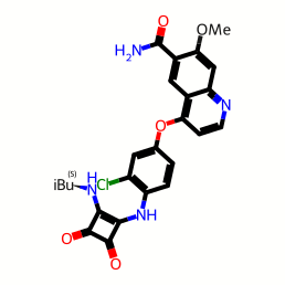 CC[C@H](C)Nc1c(Nc2ccc(Oc3ccnc4cc(OC)c(C(N)=O)cc34)cc2Cl)c(=O)c1=O